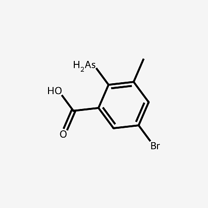 Cc1cc(Br)cc(C(=O)O)c1[AsH2]